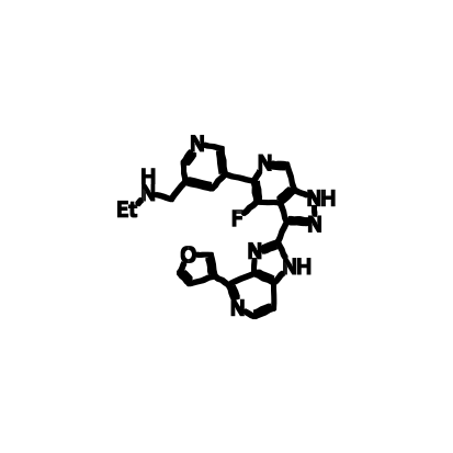 CCNCc1cncc(-c2ncc3[nH]nc(-c4nc5c(-c6ccoc6)nccc5[nH]4)c3c2F)c1